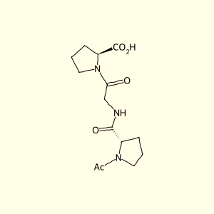 CC(=O)N1CCC[C@H]1C(=O)NCC(=O)N1CCC[C@H]1C(=O)O